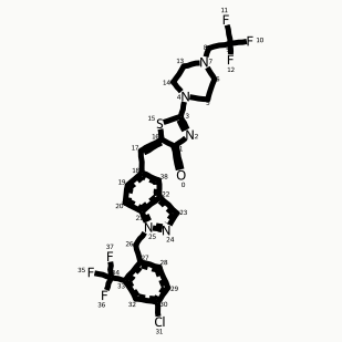 O=C1N=C(N2CCN(CC(F)(F)F)CC2)SC1=Cc1ccc2c(cnn2Cc2ccc(Cl)cc2C(F)(F)F)c1